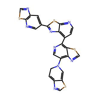 [c]1c(-c2nc3c(-c4ncc(N5C=c6scnc6=CC5)c5ncsc45)ccnc3s2)cnc2scnc12